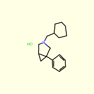 Cl.c1ccc(C23CC2CN(CC2CCCCC2)C3)cc1